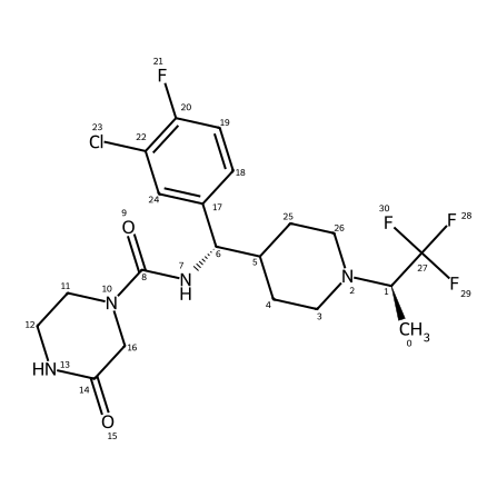 C[C@@H](N1CCC([C@H](NC(=O)N2CCNC(=O)C2)c2ccc(F)c(Cl)c2)CC1)C(F)(F)F